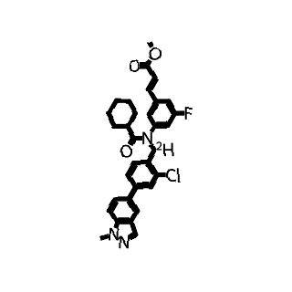 [2H]C(c1ccc(-c2ccc3c(cnn3C)c2)cc1Cl)N(C(=O)C1CCCCC1)c1cc(F)cc(/C=C/C(=O)OC)c1